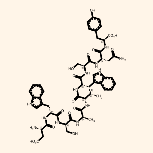 C[C@@H](NC(=O)[C@@H](CO)NC(=O)[C@@H](Cc1c[nH]c2ccccc12)NC(=O)[C@@H](N)CC(=O)O)C(=O)N[C@H](C(=O)N[C@@H](Cc1c[nH]c2ccccc12)C(=O)N[C@@H](CO)C(=O)N[C@@H](CC(N)=O)C(=O)N[C@@H](Cc1ccc(O)cc1)C(=O)O)[C@@H](C)O